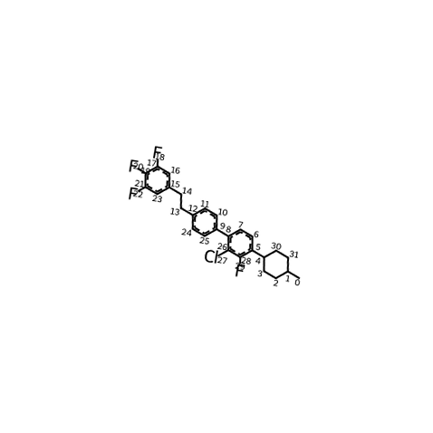 CC1CCC(c2ccc(-c3ccc(CCc4cc(F)c(F)c(F)c4)cc3)c(Cl)c2F)CC1